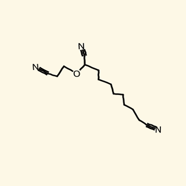 N#CCCCCCCCCC(C#N)OCCC#N